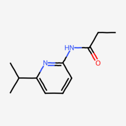 CCC(=O)Nc1cccc(C(C)C)n1